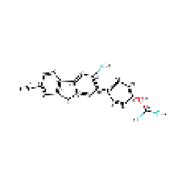 CCCc1ccc2c(c1)Cc1cc(-c3ccc(OC(F)F)cc3)c(F)cc1-2